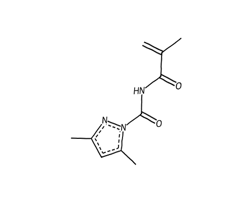 C=C(C)C(=O)NC(=O)n1nc(C)cc1C